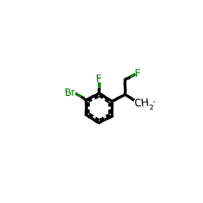 [CH2]C(CF)c1cccc(Br)c1F